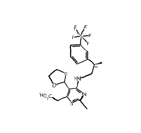 Cc1nc(CC(=O)O)c(C2OCCO2)c(NC[C@H](C)c2cccc(S(F)(F)(F)(F)F)c2)n1